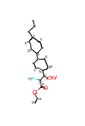 CCCC1CCC(C2CCC(C(O)C(F)C(=O)OCC)CC2)CC1